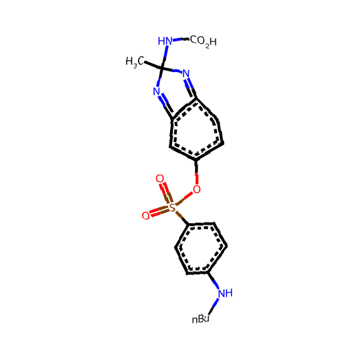 CCCCNc1ccc(S(=O)(=O)Oc2ccc3c(c2)=NC(C)(NC(=O)O)N=3)cc1